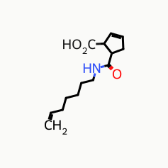 C=CCCCCCNC(=O)C1CC=CC1C(=O)O